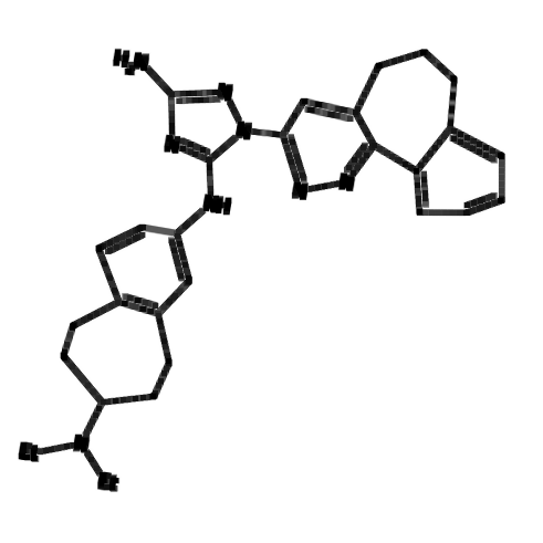 CCN(CC)C1CCc2ccc(Nc3nc(N)nn3-c3cc4c(nn3)-c3ccccc3CCC4)cc2CC1